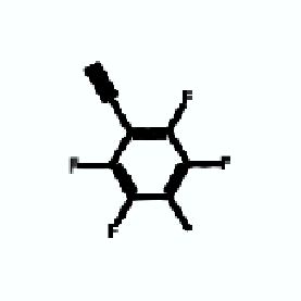 C#Cc1c(F)c(F)c(C)c(F)c1F